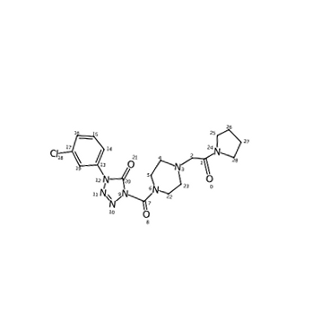 O=C(CN1CCN(C(=O)n2nnn(-c3cccc(Cl)c3)c2=O)CC1)N1CCCC1